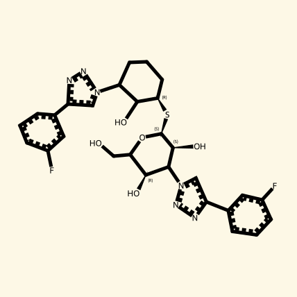 OCC1O[C@@H](S[C@@H]2CCCC(n3cc(-c4cccc(F)c4)nn3)C2O)[C@@H](O)C(n2cc(-c3cccc(F)c3)nn2)[C@H]1O